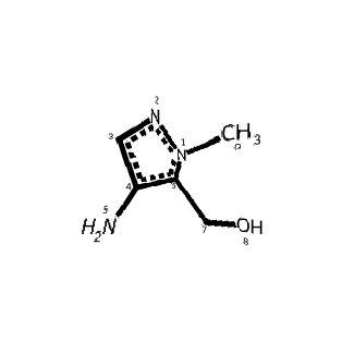 Cn1ncc(N)c1CO